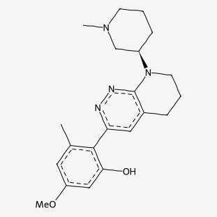 COc1cc(C)c(-c2cc3c(nn2)N([C@@H]2CCCN(C)C2)CCC3)c(O)c1